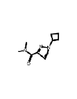 CN(C)C(=O)c1ccn(C2CCC2)n1